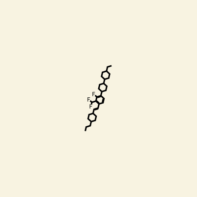 CCCC1CCC(/C=C/c2ccc(C3CCC(C4CCC(CC)CC4)CC3)c(F)c2C(F)F)CC1